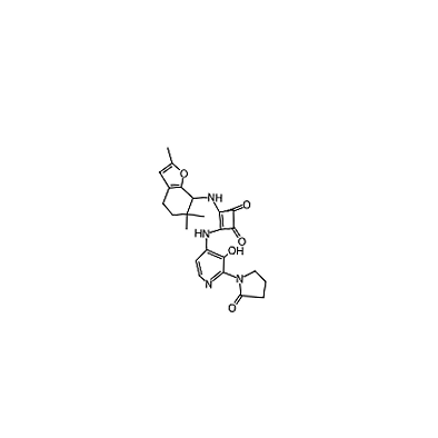 Cc1cc2c(o1)C(Nc1c(Nc3ccnc(N4CCCC4=O)c3O)c(=O)c1=O)C(C)(C)CC2